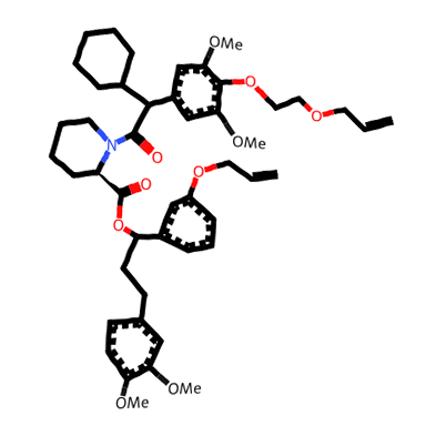 C=CCOCCOc1c(OC)cc(C(C(=O)N2CCCC[C@@H]2C(=O)OC(CCc2ccc(OC)c(OC)c2)c2cccc(OCC=C)c2)C2CCCCC2)cc1OC